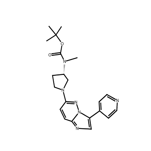 CN(C(=O)OC(C)(C)C)[C@H]1CCN(c2ccc3ncc(-c4ccncc4)n3n2)C1